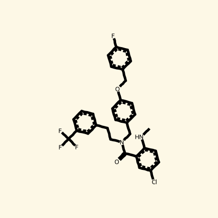 CNc1ccc(Cl)cc1C(=O)N(CCc1cccc(C(F)(F)F)c1)Cc1ccc(OCc2ccc(F)cc2)cc1